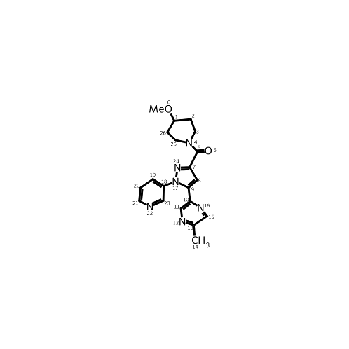 COC1CCN(C(=O)c2cc(-c3cnc(C)cn3)n(-c3cccnc3)n2)CC1